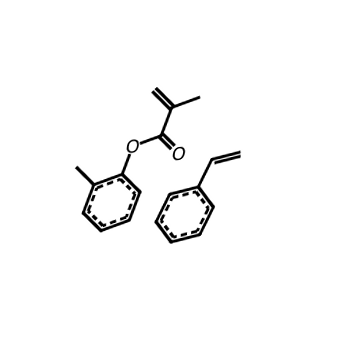 C=C(C)C(=O)Oc1ccccc1C.C=Cc1ccccc1